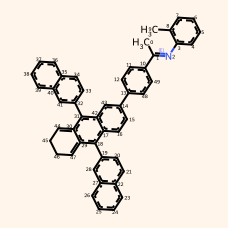 C/C(=N\c1ccccc1C)c1ccc(-c2ccc3c(-c4ccc5ccccc5c4)c4c(c(-c5ccc6ccccc6c5)c3c2)=CCCC=4)cc1